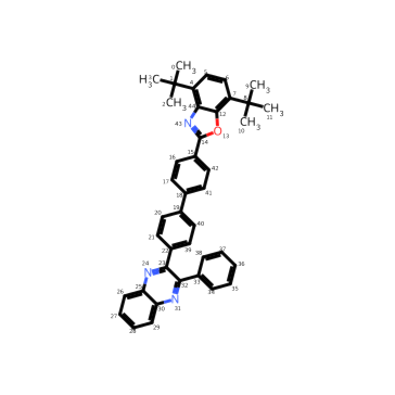 CC(C)(C)c1ccc(C(C)(C)C)c2oc(-c3ccc(-c4ccc(-c5nc6ccccc6nc5-c5ccccc5)cc4)cc3)nc12